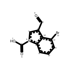 O=Cc1cn(C(=O)O)c2cccc(Br)c12